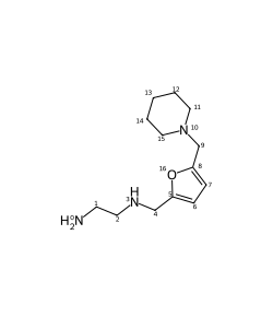 NCCNCc1ccc(CN2CCCCC2)o1